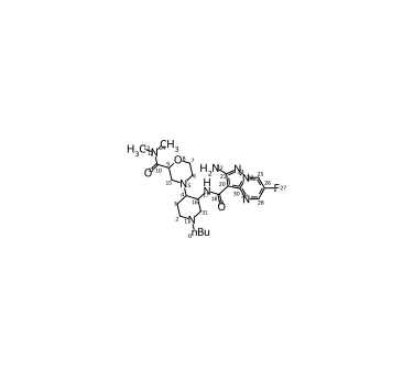 CCCCN1CCC(N2CCOC(C(=O)N(C)C)C2)C(NC(=O)c2c(N)nn3cc(F)cnc23)C1